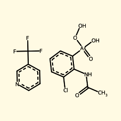 CC(=O)Nc1c(Cl)cccc1[As](=O)(O)OO.FC(F)(F)c1cccnc1